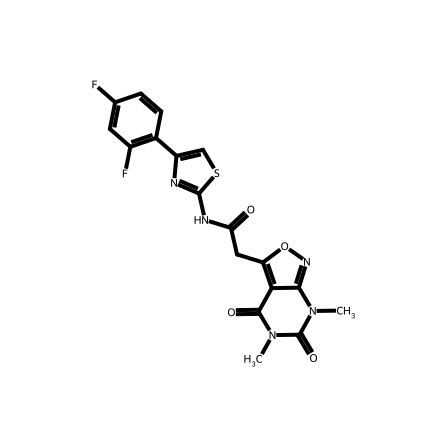 Cn1c(=O)c2c(CC(=O)Nc3nc(-c4ccc(F)cc4F)cs3)onc2n(C)c1=O